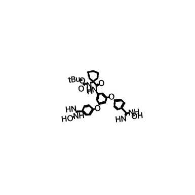 CC(C)(C)OC(=O)NC1(C(=O)Nc2cc(Oc3ccc(C(=N)NO)cc3)cc(Oc3ccc(C(=N)NO)cc3)c2)CCCCC1